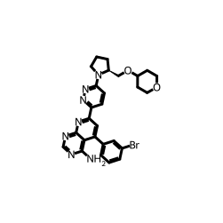 Nc1ncnc2nc(-c3ccc(N4CCC[C@H]4COC4CCOCC4)nn3)cc(-c3cccc(Br)c3)c12